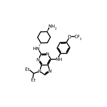 CCC(CC)n1cnc2c(Nc3ccc(OC(F)(F)F)cc3)nc(N[C@H]3CC[C@H](N)CC3)nc21